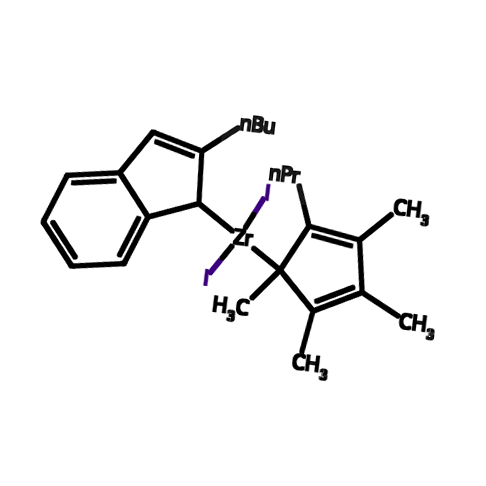 CCCCC1=Cc2ccccc2[CH]1[Zr]([I])([I])[C]1(C)C(C)=C(C)C(C)=C1CCC